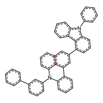 c1ccc(-c2cccc(N(c3ccccc3)c3ccccc3-c3cccc(-c4cccc5c4c4ccccc4n5-c4ccccc4)c3)c2)cc1